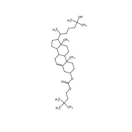 CC(CCCC(C)(C)O)C1CCC2C3CC=C4CC(OC(=O)OCC[N+](C)(C)C)CCC4(C)C3CCC12C